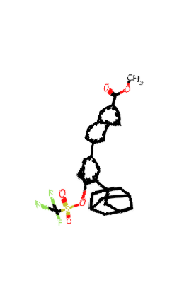 COC(=O)c1ccc2cc(-c3ccc(OS(=O)(=O)C(F)(F)F)c(C45CC6CC(CC(C6)C4)C5)c3)ccc2c1